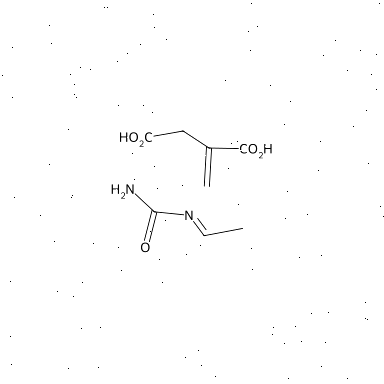 C=C(CC(=O)O)C(=O)O.CC=NC(N)=O